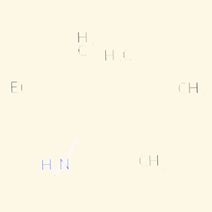 CC/C(C)=C(\N)C(C)=C(C)C